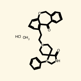 Cl.O.O=C1c2ccccc2COc2cccc(CCN3CCC4(CC3)C(=O)NCN4c3ccccc3)c21